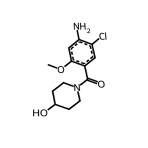 COc1cc(N)c(Cl)cc1C(=O)N1CCC(O)CC1